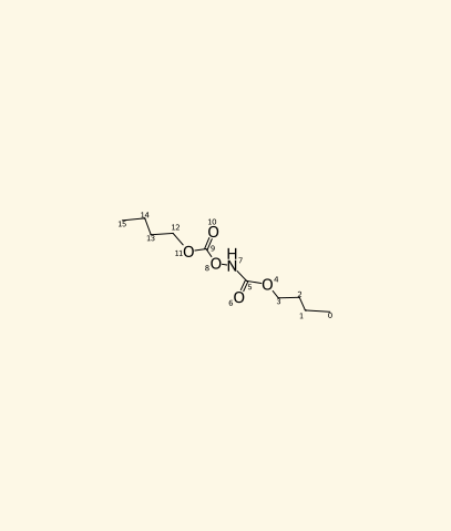 CCCCOC(=O)NOC(=O)OCCCC